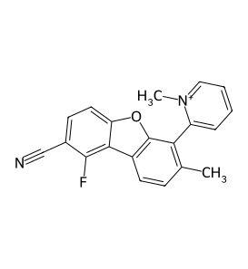 Cc1ccc2c(oc3ccc(C#N)c(F)c32)c1-c1cccc[n+]1C